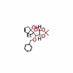 CC[C@@]1(C2(O)CC=CC2)O[C@@H]2OC(C)(C)O[C@H]2C1OCc1ccccc1